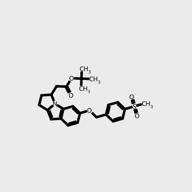 CC(C)(C)OC(=O)CC1CCc2cc3ccc(OCc4ccc(S(C)(=O)=O)cc4)cc3n21